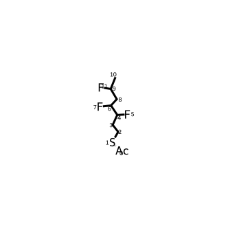 CC(=O)SCCC(F)C(F)CC(C)F